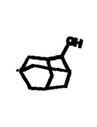 OC1C2C[C]3CC(C2)CC1C3